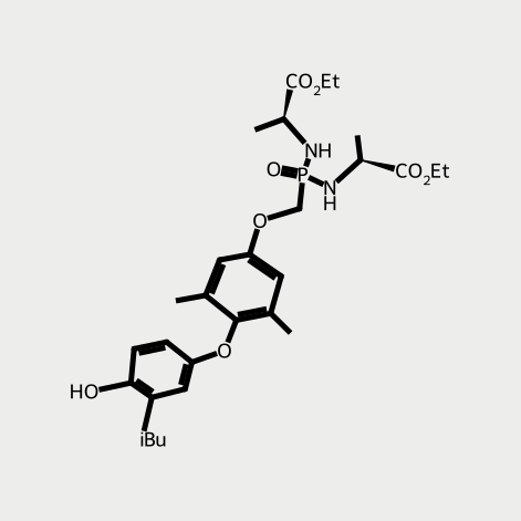 CCOC(=O)[C@H](C)NP(=O)(COc1cc(C)c(Oc2ccc(O)c(C(C)CC)c2)c(C)c1)N[C@@H](C)C(=O)OCC